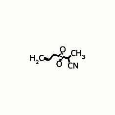 C=CCS(=O)(=O)C(C)C#N